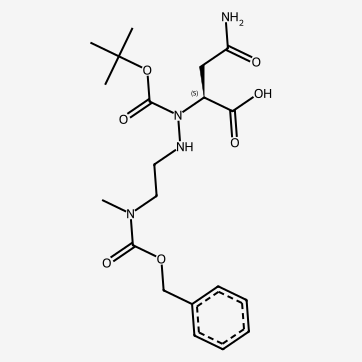 CN(CCNN(C(=O)OC(C)(C)C)[C@@H](CC(N)=O)C(=O)O)C(=O)OCc1ccccc1